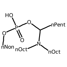 CCCCCCCCCOP(=O)(O)OC(CCCCC)N(CCCCCCCC)CCCCCCCC